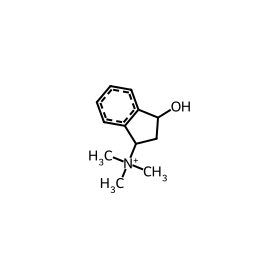 C[N+](C)(C)C1CC(O)c2ccccc21